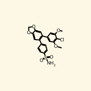 COc1cc(-c2cc3c(cc2-c2ccc(S(N)(=O)=O)cc2)OCO3)cc(OC)c1Cl